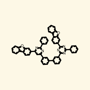 c1ccc(-c2nc(-c3cccc(-c4cccc(-c5nc(-c6ccccc6)nc(-c6ccc7c(c6)oc6ccccc67)n5)c4)c3)cc(-c3ccc4c(c3)oc3ccccc34)n2)cc1